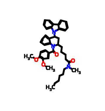 CCCCCCN(C)C(=O)CCCCC1CC(n2c3ccccc3c3ccccc32)c2ccccc2N1C(=O)c1ccc(OC)c(OC)c1